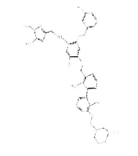 Cc1c(COc2cc(OCc3cncc(C#N)c3)c(CNCc3cc(C)n(C)n3)cc2Cl)cccc1-c1cccc(OCC2CCCN(C)C2)c1Cl